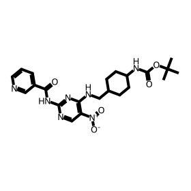 CC(C)(C)OC(=O)NC1CCC(CNc2nc(NC(=O)c3cccnc3)ncc2[N+](=O)[O-])CC1